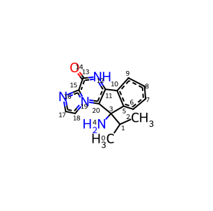 CC(C)C1(N)c2ccccc2-c2[nH]c(=O)c3nccn3c21